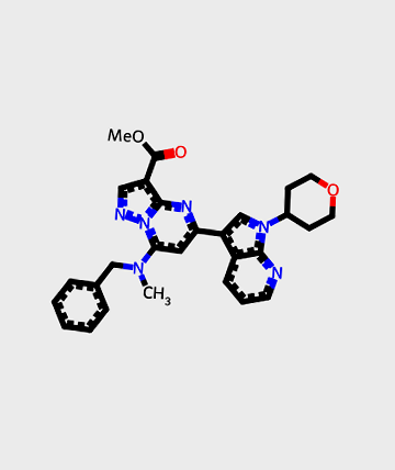 COC(=O)c1cnn2c(N(C)Cc3ccccc3)cc(-c3cn(C4CCOCC4)c4ncccc34)nc12